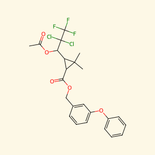 CC(=O)OC(C1C(C(=O)OCc2cccc(Oc3ccccc3)c2)C1(C)C)C(Cl)(Cl)C(F)(F)F